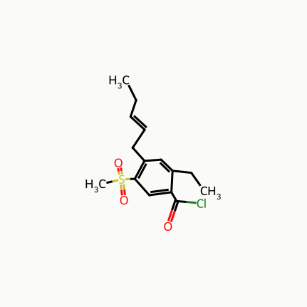 CC/C=C/Cc1cc(CC)c(C(=O)Cl)cc1S(C)(=O)=O